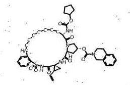 C=C[C@@H]1C[C@@]12NC(=O)[C@@H]1C[C@@H](OC(=O)N3CCc4ccccc4C3)CN1C(=O)[C@@H](NC(=O)OC1CCCC1)CCCCCCCNc1ccccc1S(=O)(=O)NC2=O